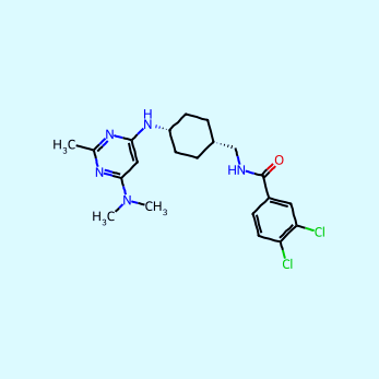 Cc1nc(N[C@H]2CC[C@@H](CNC(=O)c3ccc(Cl)c(Cl)c3)CC2)cc(N(C)C)n1